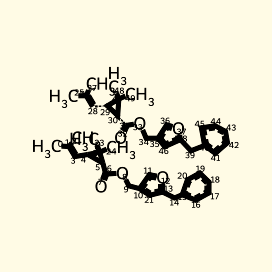 CC(C)=CC1C(C(=O)OCc2coc(Cc3ccccc3)c2)C1(C)C.CC(C)=C[C@H]1[C@@H](C(=O)OCc2coc(Cc3ccccc3)c2)C1(C)C